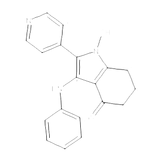 Cn1c2c(c(Nc3ccccc3)c1-c1ccncc1)C(=O)CCC2